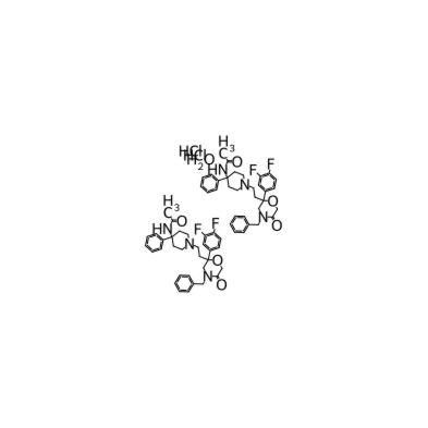 CC(=O)NC1(c2ccccc2)CCN(CCC2(c3ccc(F)c(F)c3)CN(Cc3ccccc3)C(=O)CO2)CC1.CC(=O)NC1(c2ccccc2)CCN(CCC2(c3ccc(F)c(F)c3)CN(Cc3ccccc3)C(=O)CO2)CC1.Cl.Cl.O